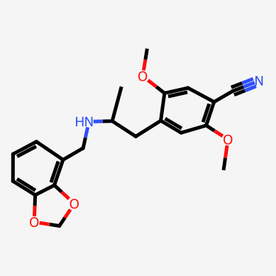 COc1cc(CC(C)NCc2cccc3c2OCO3)c(OC)cc1C#N